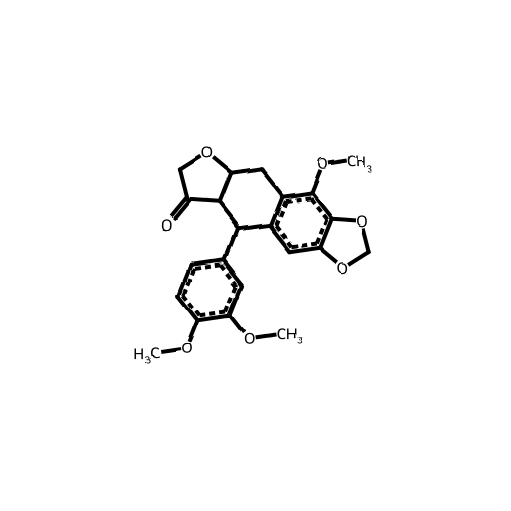 COc1ccc(C2c3cc4c(c(OC)c3CC3OCC(=O)C32)OCO4)cc1OC